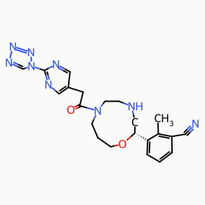 Cc1c(C#N)cccc1[C@H]1CNCCN(C(=O)Cc2cnc(-n3cnnn3)nc2)CCCO1